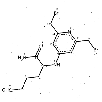 NC(=O)C(CCCC=O)Nc1cc(CBr)nc(CBr)c1